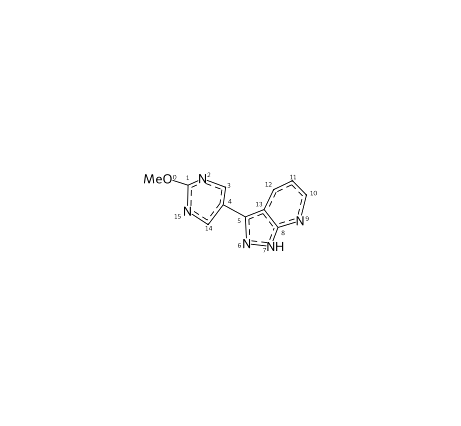 COc1ncc(-c2n[nH]c3ncccc23)cn1